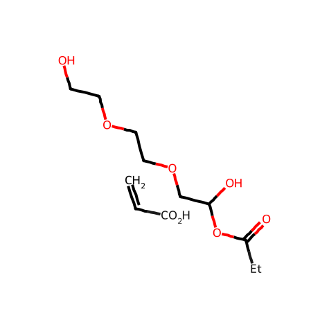 C=CC(=O)O.CCC(=O)OC(O)COCCOCCO